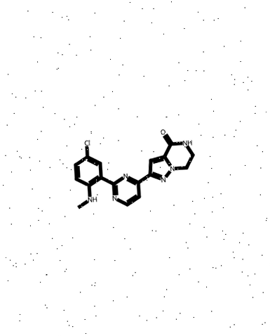 CNc1ccc(Cl)cc1-c1nccc(-c2cc3n(n2)CCNC3=O)n1